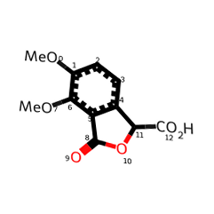 COc1ccc2c(c1OC)C(=O)OC2C(=O)O